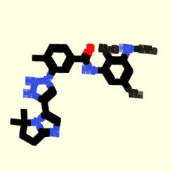 COc1c(NSC)cc(C(C)(C)C)cc1NC(=O)c1ccc(C)c(N2C=C(c3cnc4n3C(C)(C)CC4)NN2)c1